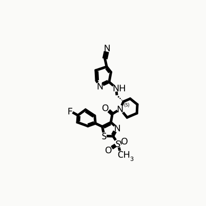 CS(=O)(=O)c1nc(C(=O)N2CCCC[C@H]2CNc2cc(C#N)ccn2)c(-c2ccc(F)cc2)s1